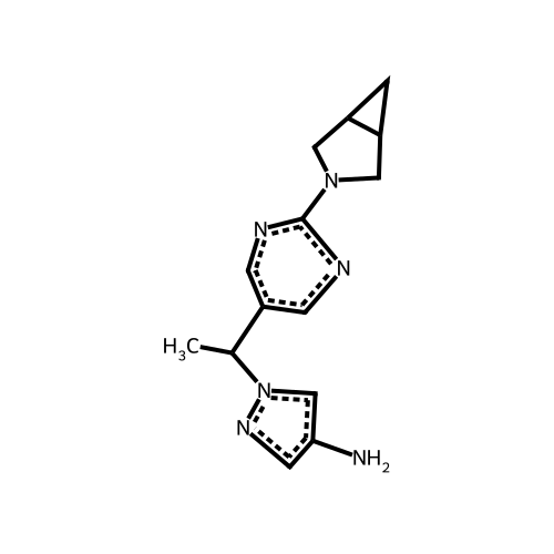 CC(c1cnc(N2CC3CC3C2)nc1)n1cc(N)cn1